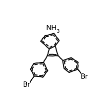 Brc1ccc(C2=C(c3ccc(Br)cc3)c3ccccc32)cc1.N